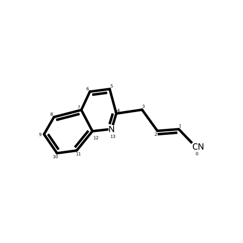 N#CC=CCc1ccc2ccccc2n1